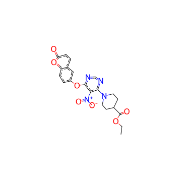 CCOC(=O)C1CCN(c2ncnc(Oc3ccc4oc(=O)ccc4c3)c2[N+](=O)[O-])CC1